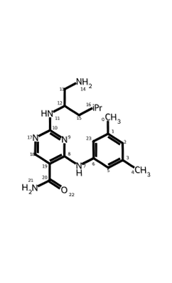 Cc1cc(C)cc(Nc2nc(NC(CN)CC(C)C)ncc2C(N)=O)c1